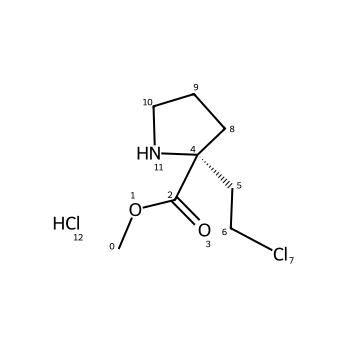 COC(=O)[C@]1(CCCl)CCCN1.Cl